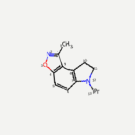 Cc1noc2ccc3c(c12)CCN3C(C)C